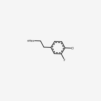 CCCCCCCCc1ccc(Cl)c(F)c1